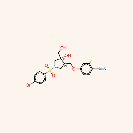 N#Cc1ccc(OC[C@H]2CN(S(=O)(=O)c3ccc(Br)cc3)C[C@@]2(O)CO)cc1F